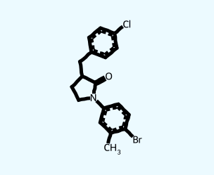 Cc1cc(N2CCC(Cc3ccc(Cl)cc3)C2=O)ccc1Br